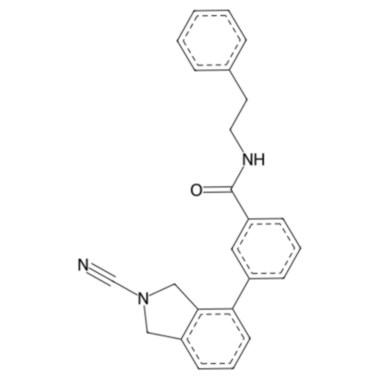 N#CN1Cc2cccc(-c3cccc(C(=O)NCCc4ccccc4)c3)c2C1